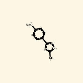 COc1ccc(-c2nnc(N)o2)cc1